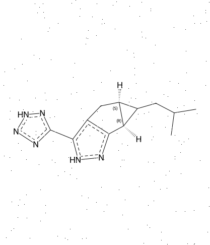 CC(C)CC1[C@H]2c3n[nH]c(-c4nn[nH]n4)c3C[C@@H]12